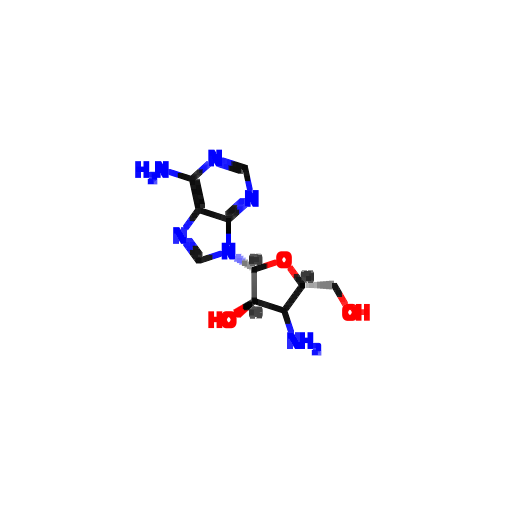 Nc1ncnc2c1ncn2[C@@H]1O[C@H](CO)C(N)[C@H]1O